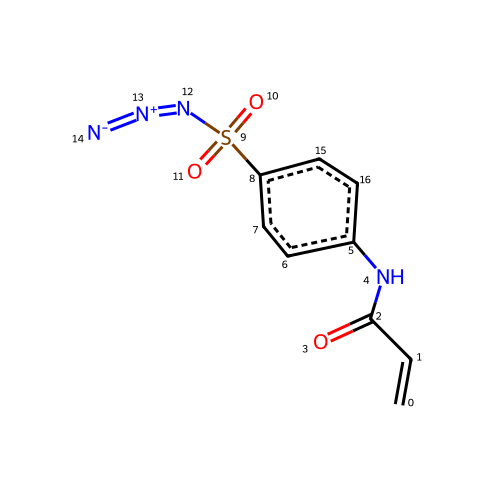 C=CC(=O)Nc1ccc(S(=O)(=O)N=[N+]=[N-])cc1